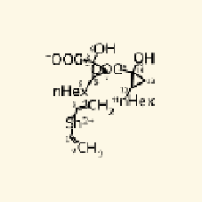 C=[CH][Sn+2][CH]=C.CCCCCCC1CC1(O)C(=O)[O-].CCCCCCC1CC1(O)C(=O)[O-]